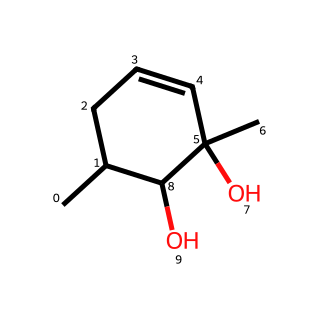 CC1CC=CC(C)(O)C1O